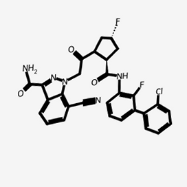 N#Cc1cccc2c(C(N)=O)nn(CC(=O)C3C[C@H](F)C[C@H]3C(=O)Nc3cccc(-c4ccccc4Cl)c3F)c12